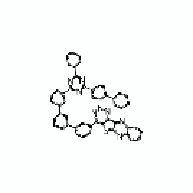 c1ccc(-c2ccc(-c3nc(-c4ccccc4)nc(-c4cccc(-c5cccc(-c6cccc(-c7nnnc8c7sc7nc9ccccc9nc78)c6)c5)c4)n3)cc2)cc1